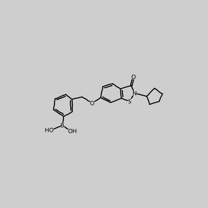 O=c1c2ccc(OCc3cccc(B(O)O)c3)cc2sn1C1CCCC1